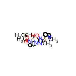 Cc1nc(N2CCC3(CCCC3=NC(=O)OC(C)(C)C)CC2)c(CO)nc1Sc1cccc2ccn(C)c12